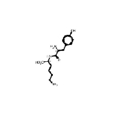 NCCCC[C@H](NC(=O)[C@@H](N)Cc1ccc(O)cc1)C(=O)O